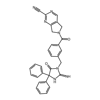 N#Cc1ncc2c(n1)CN(C(=O)c1cccc(CN3C(=N)NC(c4ccccc4)(c4ccccc4)C3=O)c1)C2